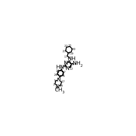 CN1CCN(c2ccc(Nc3ncc(N)c(NCC4CCCCC4)n3)cc2)CC1